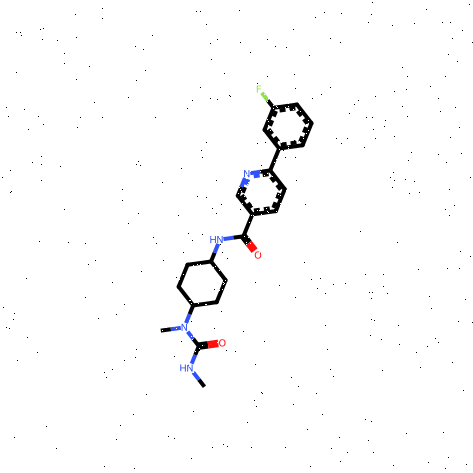 CNC(=O)N(C)C1CCC(NC(=O)c2ccc(-c3cccc(F)c3)nc2)CC1